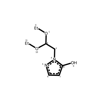 CCOC(Cn1nccc1O)OCC